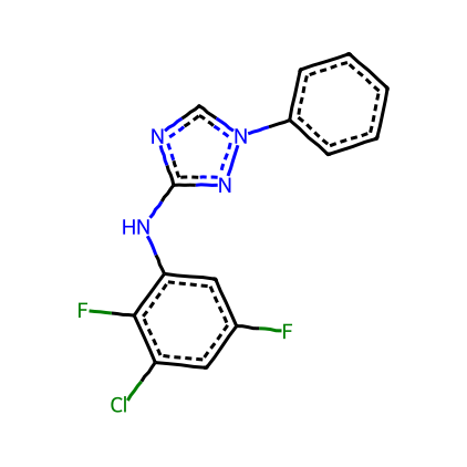 Fc1cc(Cl)c(F)c(Nc2ncn(-c3ccccc3)n2)c1